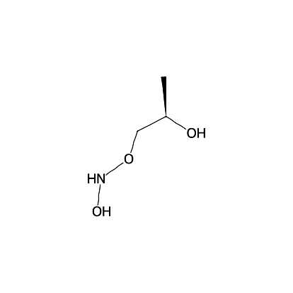 C[C@@H](O)CONO